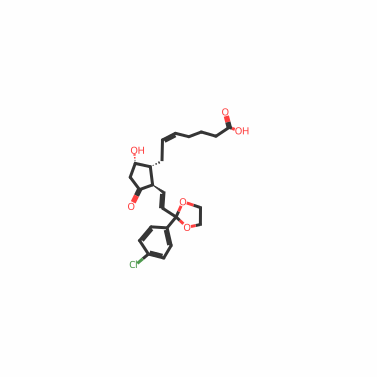 O=C(O)CCC/C=C\C[C@H]1[C@@H](O)CC(=O)[C@@H]1/C=C/C1(c2ccc(Cl)cc2)OCCO1